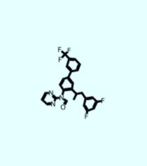 CC(Cc1cc(F)cc(F)c1)c1cc(-c2cccc(C(F)(F)F)c2)ccc1N(C=O)c1ncccn1